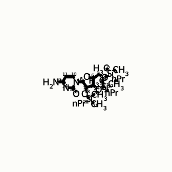 CCC[Si](C)(C)OCC1OC(n2ccc(N)nc2=O)C(O[Si](C)(C)CCC)C1O[Si](C)(C)CCC